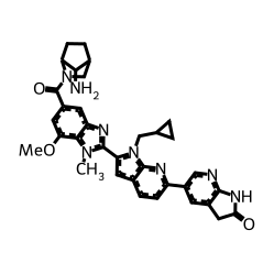 COc1cc(C(=O)N2CC3CCC2C3N)cc2nc(-c3cc4ccc(-c5cnc6c(c5)CC(=O)N6)nc4n3CC3CC3)n(C)c12